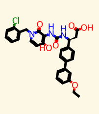 CCOc1cccc(-c2ccc([C@H](CC(=O)O)NC(=O)Nc3c(O)ccn(Cc4ccccc4Cl)c3=O)cc2)c1